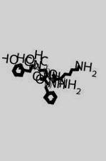 NCCCC[C@H](N)C(=O)N[C@@H](Cc1ccccc1)C(=O)N[C@@H](CC(=O)O)C(=O)N[C@@H](Cc1ccccc1)C(=O)O